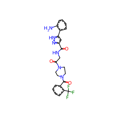 Nc1ccccc1-c1cc(C(=O)NCC(=O)N2CCN(C(=O)c3ccccc3C(F)(F)F)CC2)n[nH]1